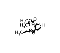 CC(C)(C)OC=O.CCCCOC(=O)C1CCNCC1